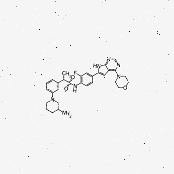 CC(c1cccc(N2CCCC(N)C2)c1)S(=O)(=O)Nc1ccc(-c2cc3c(N4CCOCC4)ncnc3[nH]2)cc1F